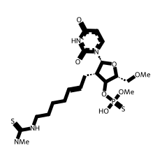 CNC(=S)NCCCC/C=C/C[C@H]1C(OP(O)(=S)OC)[C@@H](COC)O[C@H]1n1ccc(=O)[nH]c1=O